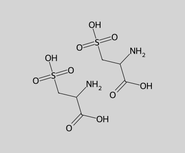 NC(CS(=O)(=O)O)C(=O)O.NC(CS(=O)(=O)O)C(=O)O